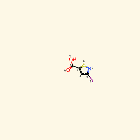 O=C(O)c1cc(I)ns1